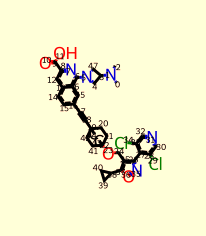 CN(C)C1CN(c2nc(C(=O)O)cc3ccc(C#CC45CCC(OCc6c(-c7c(Cl)cncc7Cl)noc6C6CC6)(CC4)CC5)cc23)C1